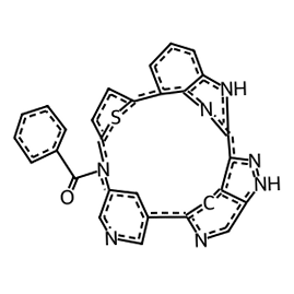 O=C(c1ccccc1)n1c2cncc(c2)c2cc3c(cn2)[nH]nc3c2nc3c(cccc3c3ccc1s3)[nH]2